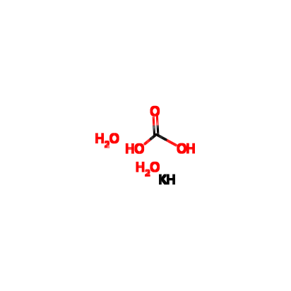 O.O.O=C(O)O.[KH]